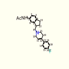 CC(=O)Nc1ccc2c(c1)C(CN1CC=C(c3ccc(F)cc3)CC1)CC2